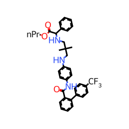 CCCOC(=O)C(NCC(C)(C)CNc1ccc(NC(=O)c2ccccc2-c2ccc(C(F)(F)F)cc2)cc1)c1ccccc1